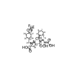 O=C(N[C@H](Cc1ccccc1Cl)[C@@H](O)C(=O)O)c1cc(C(=O)O)n(Cc2ccc(OC(F)(F)F)cc2)n1